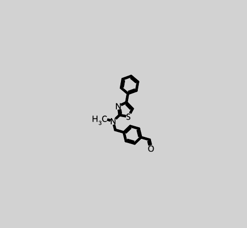 CN(Cc1ccc(C=O)cc1)c1nc(-c2ccccc2)cs1